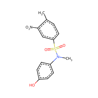 Cc1ccc(S(=O)(=O)N(C)c2ccc(O)cc2)cc1[N+](=O)[O-]